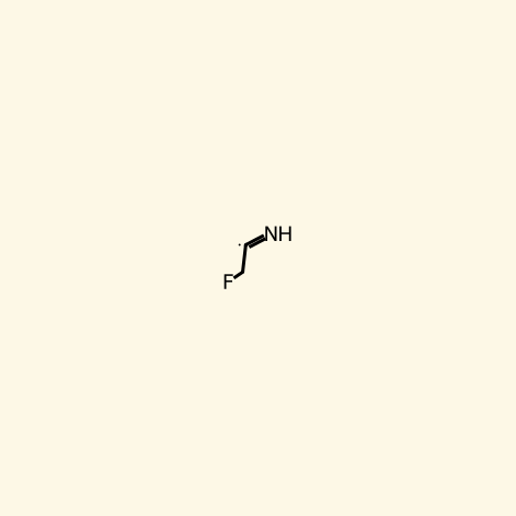 N=[C]CF